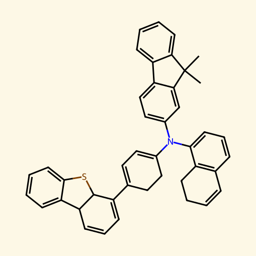 CC1(C)c2ccccc2-c2ccc(N(C3=CC=C(C4=CC=CC5c6ccccc6SC45)CC3)c3cccc4c3CCC=C4)cc21